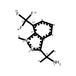 Cn1nc(C(C)(C)N)c2cccc(C(F)(F)F)c21